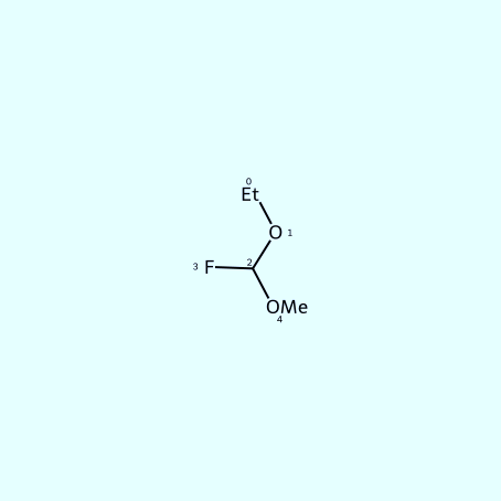 CCOC(F)OC